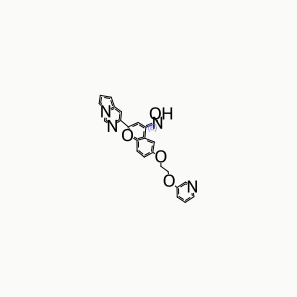 O/N=c1\cc(-c2cc3cccn3cn2)oc2ccc(OCCOc3cccnc3)cc12